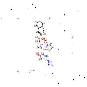 CCCC(=O)N(CC1CCCN1C(=O)C(CO)NS(=O)(=O)c1ccc2ccccc2c1)NC=NN